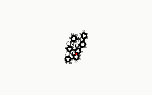 N#Cc1ccc(-n2c3ccccc3c3ccccc32)c(-c2cccc3c4c(oc23)-c2c(c3ccccc3n2-c2ccccc2)CC4)c1